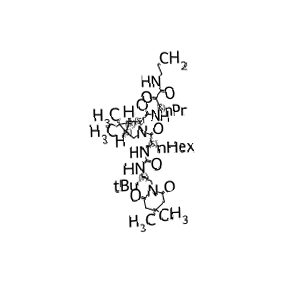 C=CCNC(=O)C(=O)[C@H](CCC)NC(=O)[C@@H]1[C@@H]2[C@H](CN1C(=O)[C@H](CCCCCC)NC(=O)N[C@H](CN1C(=O)CC(C)(C)CC1=O)C(C)(C)C)C2(C)C